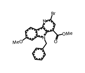 COC(=O)c1cc(Br)nc2c3ccc(OC)cc3n(Cc3ccccc3)c12